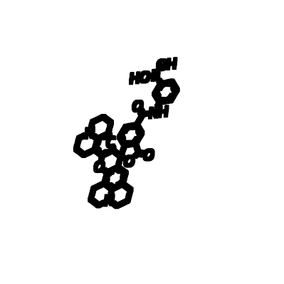 O=C(Nc1cccc(B(O)O)c1)c1ccc2c(c1)C(=O)OC21c2cc3c4c(c2Oc2c1cc1c5c2CCCN5CCC1)CCCN4CCC3